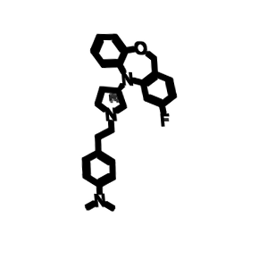 CN(C)c1ccc(CCN2CC[C@@H](N3c4cc(F)ccc4COc4ccccc43)C2)cc1